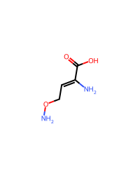 NOCC=C(N)C(=O)O